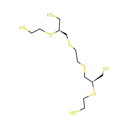 SCCS[C@H](CS)CSCCSC[C@H](CS)SCCS